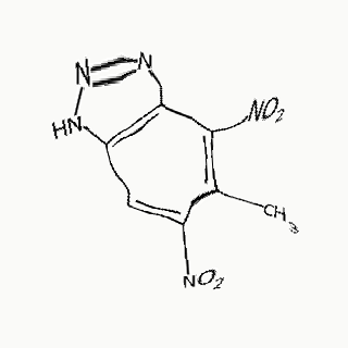 Cc1c([N+](=O)[O-])cc2[nH]nnc2c1[N+](=O)[O-]